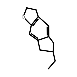 CCC1Cc2cc3c(cc2C1)OCC3